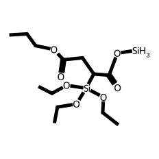 CCCOC(=O)CC(C(=O)O[SiH3])[Si](OCC)(OCC)OCC